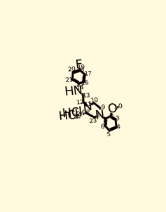 COc1ccccc1N1CCN(CCNc2ccc(F)cc2)CC1.Cl.Cl